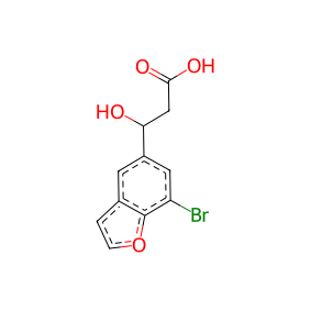 O=C(O)CC(O)c1cc(Br)c2occc2c1